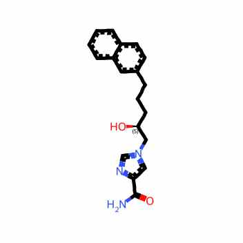 NC(=O)c1cn(C[C@@H](O)CCCc2ccc3ccccc3c2)cn1